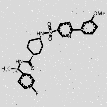 COc1cccc(-c2ccc(S(=O)(=O)N[C@H]3CC[C@H](C(=O)N[C@H](C)c4ccc(F)cc4)CC3)cn2)c1